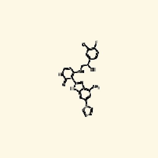 Cc1cc(-n2ccnc2)cc2[nH]c(-c3c(NCC(O)c4ccc(F)c(Cl)c4)cc[nH]c3=O)nc12